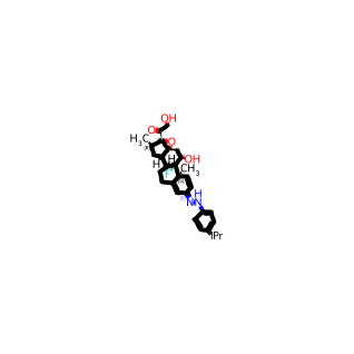 CC(C)c1ccc(N/N=C2\C=C[C@@]3(C)C(=C2)CC[C@H]2[C@@H]4C[C@@H](C)[C@@]5(C(=O)CO)O[C@]45C[C@H](O)[C@@]23F)cc1